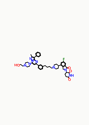 Cc1nn2c(N3CCN(CCO)CC3)cc(-c3cccc(CCCCN4CCC(c5cc(F)cc6c5CN(C5CCC(=O)NC5=O)C6=O)CC4)c3)nc2c1-c1ccccc1